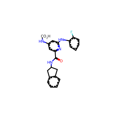 O=C(O)Nc1cc(Nc2ccccc2F)nc(C(=O)NC2Cc3ccccc3C2)c1